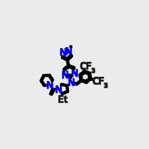 C=C(N1CCCCC1)N1C[C@@H](N(Cc2cc(C(F)(F)F)cc(C(F)(F)F)c2)c2ncc(-c3cnn(C)c3)cn2)C[C@H]1CC